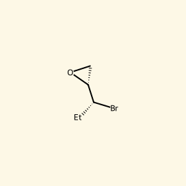 CC[C@@H](Br)[C@H]1CO1